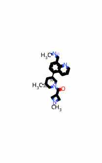 C/N=C\c1ccc([C@@H]2C[C@@H](C)CN(C(=O)C3CN(C)C3)C2)c2cccnc12